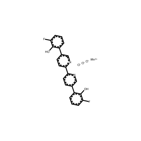 Oc1c(F)cccc1-c1ccc(-c2ccc(-c3cccc(F)c3O)cn2)nc1.[Cl-].[Cl-].[Cl-].[Mn+3]